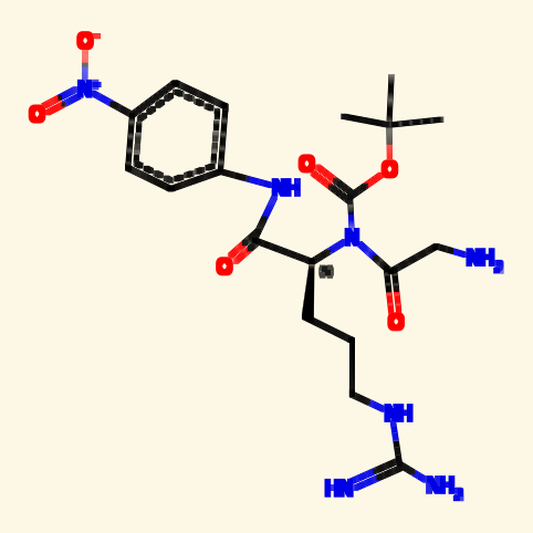 CC(C)(C)OC(=O)N(C(=O)CN)[C@@H](CCCNC(=N)N)C(=O)Nc1ccc([N+](=O)[O-])cc1